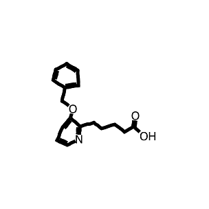 O=C(O)CCCCc1ncccc1OCc1ccccc1